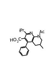 CC(=O)N1CC(C)Cc2c1nc(C(C)C)c(C(=O)O)c2-c1ccccc1